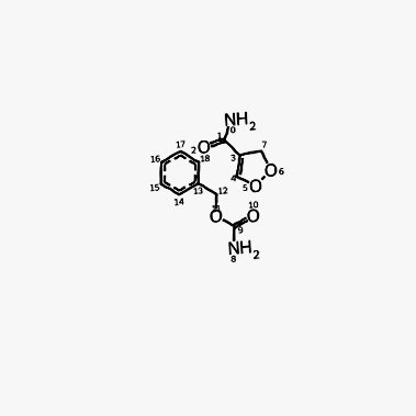 NC(=O)C1=COOC1.NC(=O)OCc1ccccc1